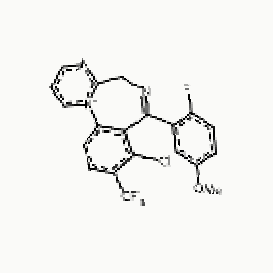 COc1ccc(F)c(C2=NCc3nccc[n+]3-c3ccc(C(F)(F)F)c(Cl)c32)c1